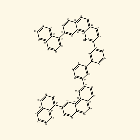 c1cc(-c2cccc(-c3ccc4ccc5ccc(-c6cccc7ccccc67)cc5c4n3)c2)cc(-c2ccc3ccc4ccc(-c5cccc6ccccc56)cc4c3n2)c1